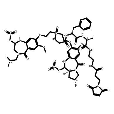 COc1cc2c(cc1OCCP(=O)(CCOc1cc3c(cc1OC)C(=O)N1C[C@H](F)C[C@H]1C(O[SH](=O)=O)N3)NCC(=O)N[C@@H](Cc1ccccc1)C(=O)N[C@@H](C)C(=O)NCCNC(=O)CCN1C(=O)C=CC1=O)NC(O[SH](=O)=O)CN(C[C@@H](C)F)C2=O